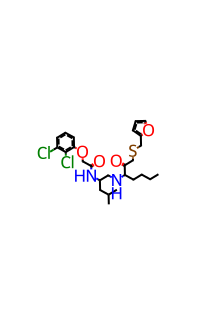 CCCCC(NCC(CC(C)C)NC(=O)COc1cccc(Cl)c1Cl)C(=O)CSCc1ccco1